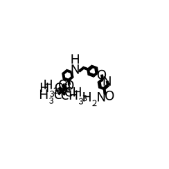 CC(C)(C)[Si](C)(C)OC1CCCC(NCCc2ccc(Oc3ccc(C(N)=O)cn3)cc2)C1